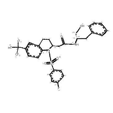 O=C(C[C@@H]1CCc2cc(C(O)(C(F)(F)F)C(F)(F)F)ccc2N1S(=O)(=O)c1ccc(F)cc1)N[C@H](CO)Cc1ccccc1